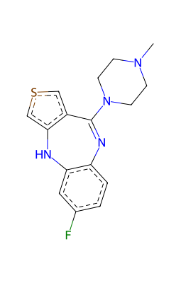 CN1CCN(C2=Nc3ccc(F)cc3Nc3cscc32)CC1